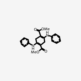 COC(=O)C1=C(Nc2ccccc2)CC(C(=O)OC)=C(Nc2ccccc2)C1